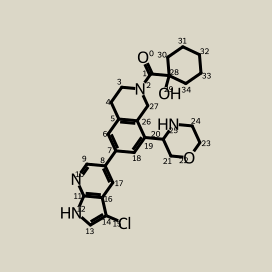 O=C(N1CCc2cc(-c3cnc4[nH]cc(Cl)c4c3)cc(C3COCCN3)c2C1)C1(O)CCCCC1